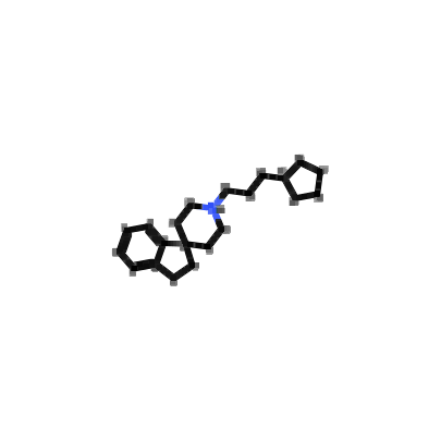 c1ccc2c(c1)CCC21CCN(CCCC2CCCC2)CC1